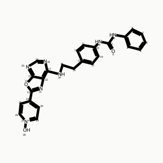 O=C(Nc1ccccc1)Nc1ccc(CCNc2ncnc3oc(-c4cc[n+](O)cc4)nc23)cc1